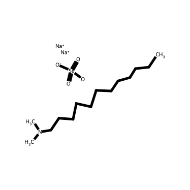 CCCCCCCCCCCCN(C)C.O=[Se](=O)([O-])[O-].[Na+].[Na+]